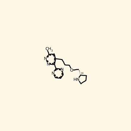 Cc1cc(CCCOC[C@@H]2CCCN2)c(-c2ncccn2)nn1